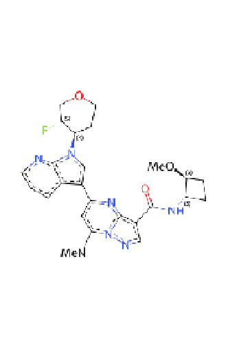 CNc1cc(-c2cn([C@@H]3CCOC[C@H]3F)c3ncccc23)nc2c(C(=O)N[C@H]3CC[C@@H]3OC)cnn12